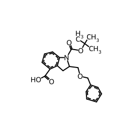 CC(C)(C)OC(=O)N1c2cccc(C(=O)O)c2CC1COCc1ccccc1